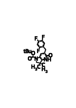 CC(C)(C)OC(=O)N1CC(C)(C)c2[nH]c(=O)c(Cc3cc(F)c(F)cc3F)cc21